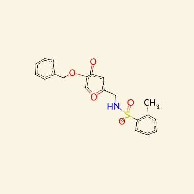 Cc1ccccc1S(=O)(=O)NCc1cc(=O)c(OCc2ccccc2)co1